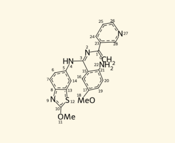 C=C(/N=C(/Nc1ccc2nc(OC)sc2c1)c1cc(OC)ccc1N)c1cccnc1